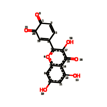 O=C1C=CC(c2oc3cc(O)cc(O)c3c(=O)c2O)=CC1=O